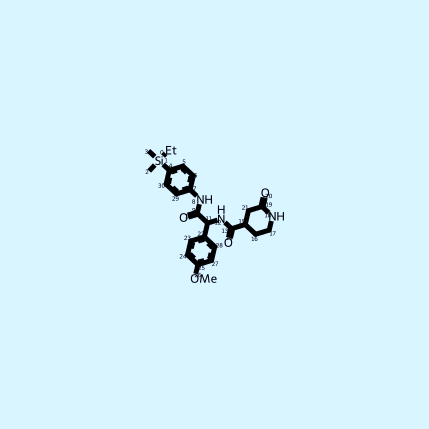 CC[Si](C)(C)c1ccc(NC(=O)C(NC(=O)C2CCNC(=O)C2)c2ccc(OC)cc2)cc1